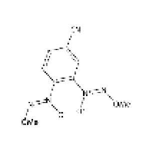 CO/N=[N+](\[O-])c1ccc(C#N)cc1/[N+]([O-])=N/OC